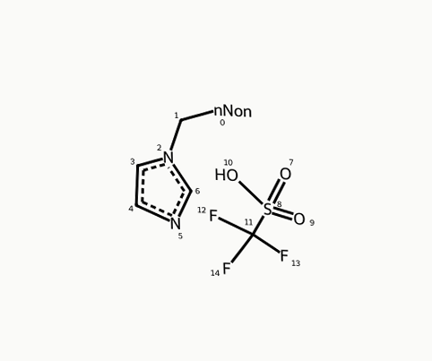 CCCCCCCCCCn1ccnc1.O=S(=O)(O)C(F)(F)F